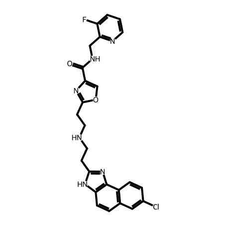 O=C(NCc1ncccc1F)c1coc(CCNCCc2nc3c(ccc4cc(Cl)ccc43)[nH]2)n1